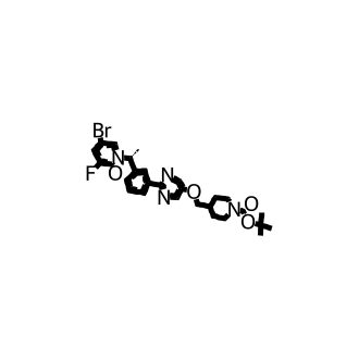 C[C@H](c1cccc(-c2ncc(OCC3CCN(C(=O)OC(C)(C)C)CC3)cn2)c1)n1cc(Br)cc(F)c1=O